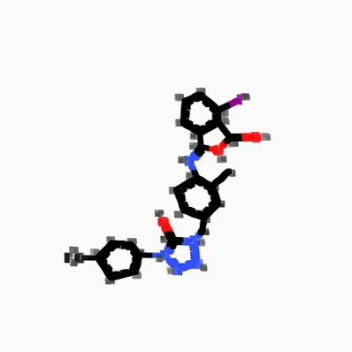 Cc1cc(Cn2nnn(-c3ccc(C(F)(F)F)cc3)c2=O)ccc1N=C1OC(=O)c2c(I)cccc21